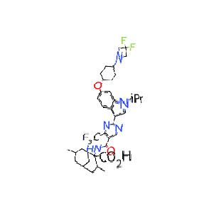 CC1CC2CC(C)C(NC(=O)c3cnc(-c4cn(C(C)C)c5cc(O[C@H]6CC[C@H](N7CC(F)(F)C7)CC6)ccc45)nc3C(F)(F)F)(C(=O)O)C(C1)C2